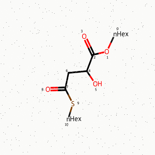 CCCCCCOC(=O)C(O)CC(=O)SCCCCCC